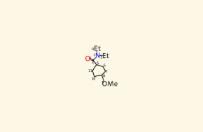 CCN(CC)C(=O)C1CCC(OC)CC1